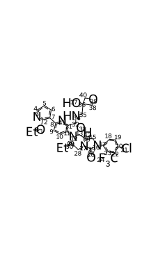 CCOc1ncccc1-c1ccc(N2C[C@H]3CN(c4ccc(Cl)cc4C(F)(F)F)C(=O)N3C[C@H]2CC)c(C(=O)NCC2(O)COC2)n1